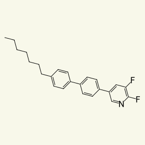 CCCCCCCc1ccc(-c2ccc(-c3cnc(F)c(F)c3)cc2)cc1